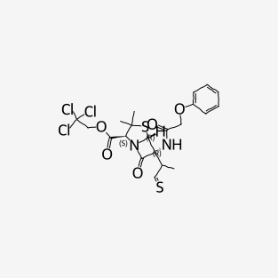 CC(C=S)[C@@]1(NC(=O)COc2ccccc2)C(=O)N2[C@@H](C(=O)OCC(Cl)(Cl)Cl)C(C)(C)S[C@@H]21